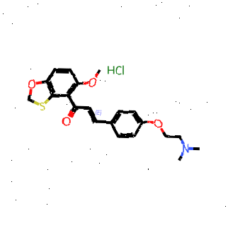 COc1ccc2c(c1C(=O)/C=C/c1ccc(OCCN(C)C)cc1)SCO2.Cl